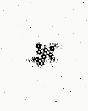 Cc1cc2c3c(c1)N(c1cccc4c1oc1ccccc14)c1cc(N4c5ccc(C(C)(C)C)cc5C5(C)CCCCC45C)ccc1B3c1cc(C(C)(C)C)ccc1N2c1ccc(C(C)(C)C)cc1